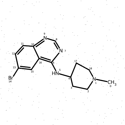 CN1CCC(Nc2ncnc3ccc(Br)cc23)CC1